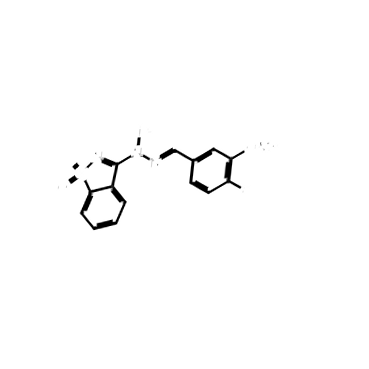 CCC(C)N(/N=C/c1ccc(Cl)c(OC)c1)C1=NS(=O)(=O)c2ccccc21